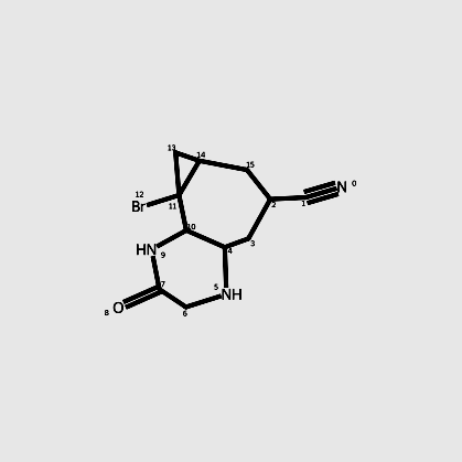 N#CC1CC2NCC(=O)NC2C2(Br)CC2C1